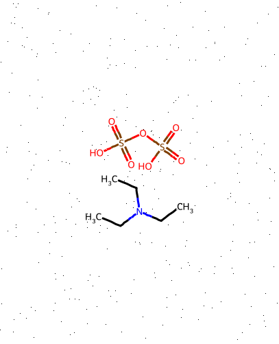 CCN(CC)CC.O=S(=O)(O)OS(=O)(=O)O